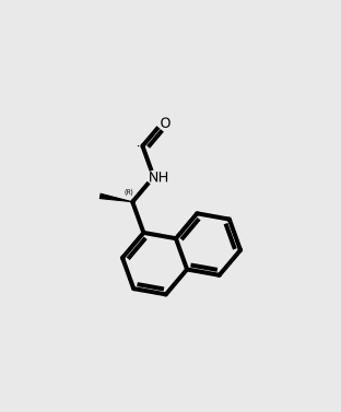 C[C@@H](N[C]=O)c1cccc2ccccc12